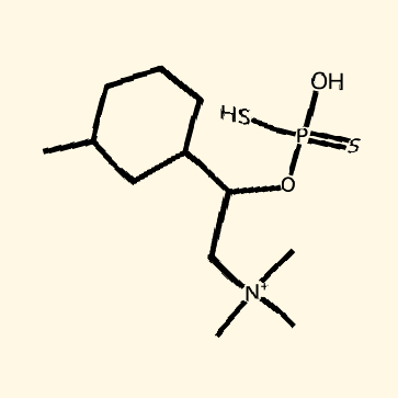 CC1CCCC(C(C[N+](C)(C)C)OP(O)(=S)S)C1